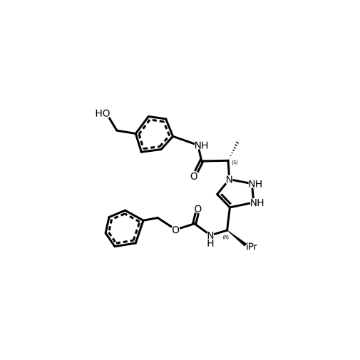 CC(C)[C@@H](NC(=O)OCc1ccccc1)C1=CN([C@@H](C)C(=O)Nc2ccc(CO)cc2)NN1